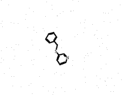 c1ccc(CSc2cccnc2)cc1